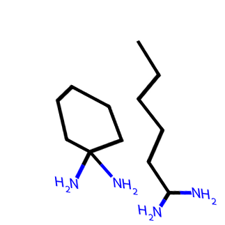 CCCCCC(N)N.NC1(N)CCCCC1